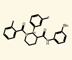 Cc1ccccc1C(=O)N1CCCC(C(=O)Nc2cccc(C(C)(C)C)c2)[C@@H]1c1cccc(F)c1